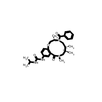 CC(C)NC(=O)Nc1ccc2c(c1)C(=O)N(C)C[C@H](C)[C@@H](C)CN(C(=O)c1ccccc1)[C@@H](C)CO2